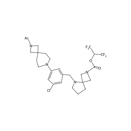 CC(=O)N1CC2(CCN(c3cc(Cl)cc(CN4CCCC45CN(C(=O)OC(C(F)(F)F)C(F)(F)F)C5)c3)CC2)C1